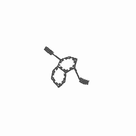 C#Cc1ccc(C#C)c2ccccc12